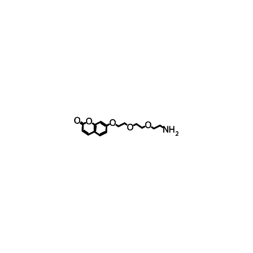 NCCOCCOCCOc1ccc2ccc(=O)oc2c1